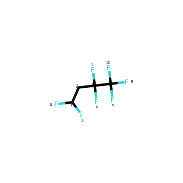 FC(F)[CH]C(F)(F)C(F)(F)F